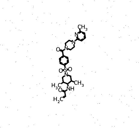 C=CC(=O)NC1C(C)CN(S(=O)(=O)c2ccc(C(=O)N3CCN(c4cccc(C)n4)CC3)cc2)CC1C